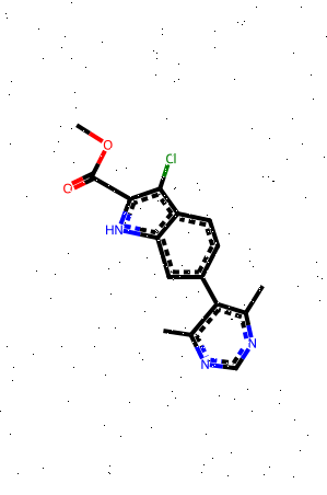 COC(=O)c1[nH]c2cc(-c3c(C)ncnc3C)ccc2c1Cl